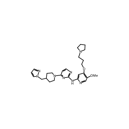 COc1cnc(Nc2nccc(N3CCC(Cn4cccn4)CC3)n2)cc1OCCCN1CCCC1